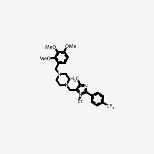 CCn1c(-c2ccc(C(F)(F)F)cc2)nc(C)c1CN1CCN(Cc2ccc(OC)c(OC)c2OC)CC1